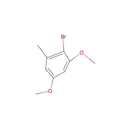 COc1cc(C)c(Br)c(OC)c1